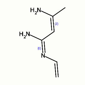 C=C/N=C(N)\C=C(\C)N